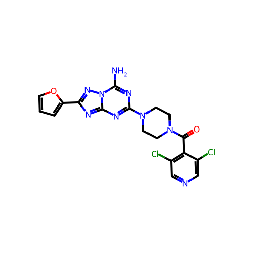 Nc1nc(N2CCN(C(=O)c3c(Cl)cncc3Cl)CC2)nc2nc(-c3ccco3)nn12